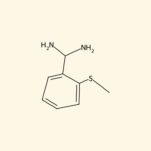 CSc1ccccc1C(N)N